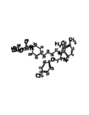 Cc1ccc2nc(COc3ccc(Cl)cc3)n(CCCCC3CCN(C(=O)OC(C)(C)C)CC3)c2c1C